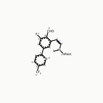 CCCCCN(C)/C=C\c1cc(-c2ccc(C(F)(F)F)cn2)cc(F)c1C=O